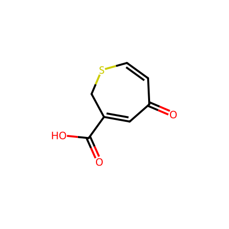 O=C1C=CSCC(C(=O)O)=C1